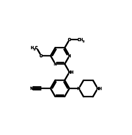 COc1cc(OC)nc(Nc2cc(C#N)ccc2N2CCNCC2)n1